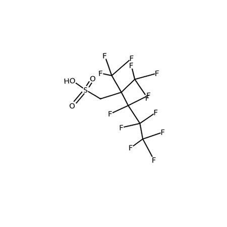 O=S(=O)(O)CC(C(F)(F)F)(C(F)(F)F)C(F)(F)C(F)(F)C(F)(F)F